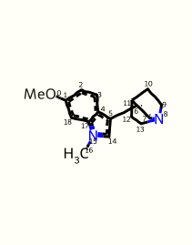 COc1ccc2c([C]3[CH]N4CCC3CC4)cn(C)c2c1